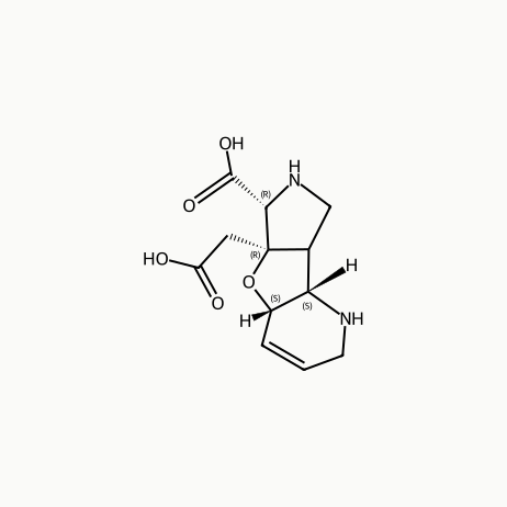 O=C(O)C[C@@]12O[C@H]3C=CCN[C@H]3C1CN[C@H]2C(=O)O